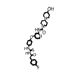 O=C(Cc1ccc(F)cc1)NC(=S)Nc1ccc(Oc2ccnc(NC(=O)N3CCC(N4CCC(O)CC4)CC3)c2)cc1